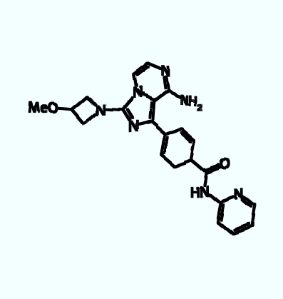 COC1CN(c2nc(C3=CCC(C(=O)Nc4ccccn4)C=C3)c3c(N)nccn23)C1